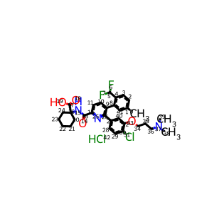 Cc1ccc(C(F)F)c(-c2ccc(C(=O)NC3(C(=O)O)CCCCC3)nc2-c2ccc(Cl)c(OCCCN(C)C)c2)c1.Cl